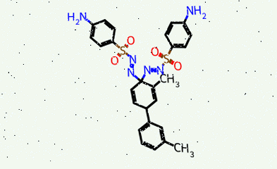 CC1=CC(c2cccc(C)c2)C=CC1(/N=N/S(=O)(=O)c1ccc(N)cc1)/N=N/S(=O)(=O)c1ccc(N)cc1